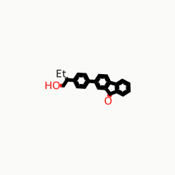 CCC(CO)c1ccc(-c2ccc3c(c2)C(=O)c2ccccc2-3)cc1